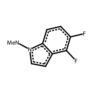 CNn1ccc2c(F)c(F)ccc21